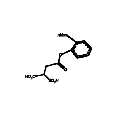 CCCCCCCCCc1ccccc1OC(=O)CC(C(=O)O)S(=O)(=O)O